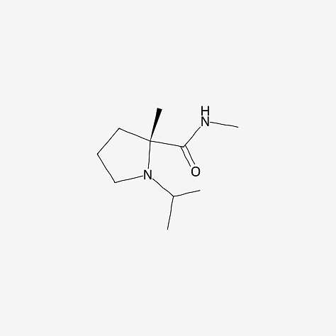 CNC(=O)[C@@]1(C)CCCN1C(C)C